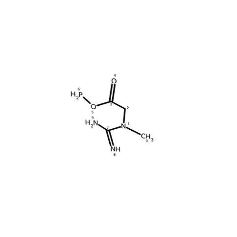 CN(CC(=O)OP)C(=N)N